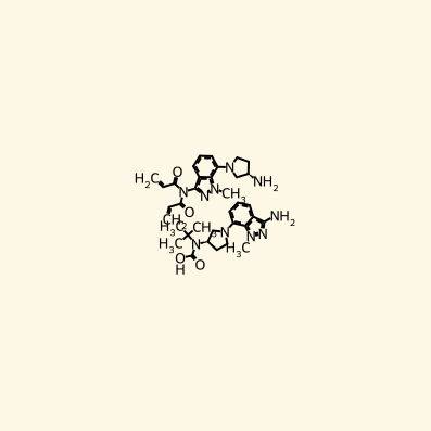 C=CC(=O)N(C(=O)C=C)c1nn(C)c2c(N3CC[C@@H](N)C3)cccc12.Cn1nc(N)c2cccc(N3CC[C@@H](N(C(=O)O)C(C)(C)C)C3)c21